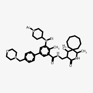 CCN(c1cc(-c2ccc(CN3CCOCC3)cc2)cc(C(=O)NCC2C(=O)NC(C)C3(CCCCCCC3)C2C)c1C)C1CCN(C(C)=O)CC1